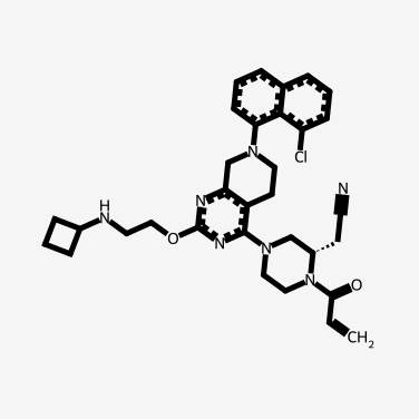 C=CC(=O)N1CCN(c2nc(OCCNC3CCC3)nc3c2CCN(c2cccc4cccc(Cl)c24)C3)C[C@@H]1CC#N